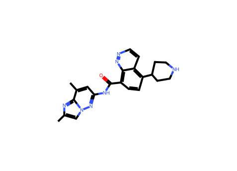 Cc1cn2nc(NC(=O)c3ccc(C4CCNCC4)c4ccnnc34)cc(C)c2n1